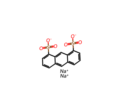 O=S(=O)([O-])c1cccc2cc3cccc(S(=O)(=O)[O-])c3cc12.[Na+].[Na+]